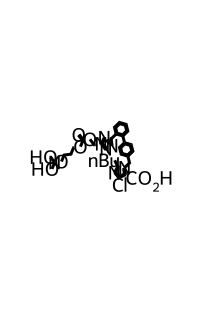 CCCCc1nc(Cl)c(C(=O)O)n1Cc1ccc(-c2ccccc2-c2nnn(COC(=O)OCCCON(O)O)n2)cc1